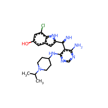 CC(C)N1CCC(Nc2ncnc(N)c2C(=N)c2cc3cc(O)cc(Cl)c3[nH]2)CC1